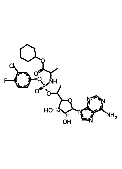 CC(NP(=O)(Oc1ccc(F)c(Cl)c1)OC(C)C1OC(n2cnc3c(N)ncnc32)[C@H](O)[C@@H]1O)C(=O)OC1CCCCC1